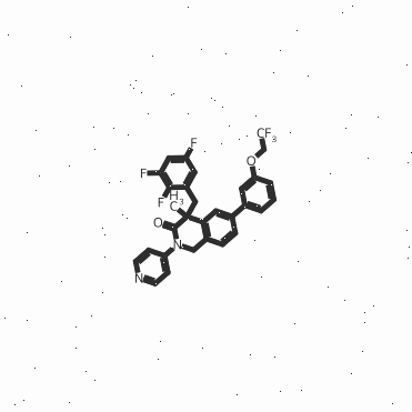 CC1(Cc2cc(F)cc(F)c2F)C(=O)N(c2ccncc2)Cc2ccc(-c3cccc(OCC(F)(F)F)c3)cc21